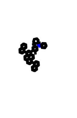 Cc1cc2c(cc1-c1cc(-c3cccc4ccccc34)c3ccc4ccc(-c5cccc6ccccc56)c5ccc1c3c45)C1(C)CCCCC1(C)N2c1ccccc1